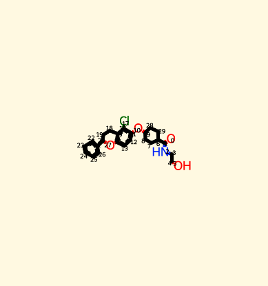 O=C(NCCO)C1CCC(Oc2ccc3c(c2Cl)CCC(c2ccccc2)O3)CC1